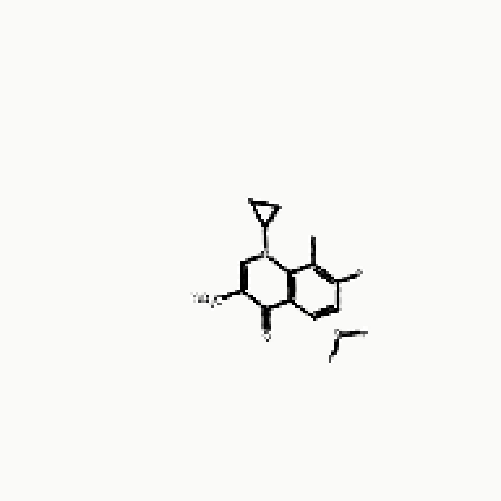 Cc1c(F)ccc2c(=O)c(C(=O)O)cn(C3CC3)c12.F[B]F